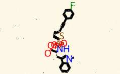 Cn1cc(C[C@@H](NS(=O)(=O)c2ccc(C#Cc3ccc(F)cc3)s2)C(=O)O)c2ccccc21